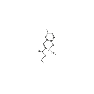 Cc1ccc2c(c1)C=C(C(=O)OCI)[C@@H](C(F)(F)F)O2